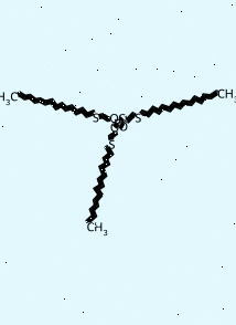 CCCCCCCCCCCCCCCCSCCOP(=O)(OCCSCCCCCCCCCCCCCCCC)OCCSCCCCCCCCCCCCCCCC